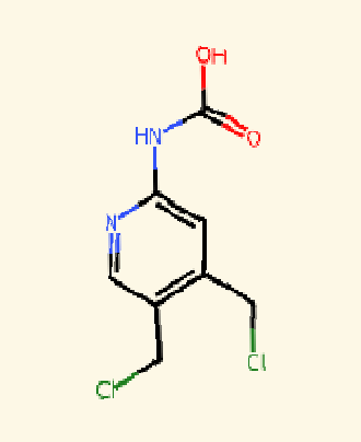 O=C(O)Nc1cc(CCl)c(CCl)cn1